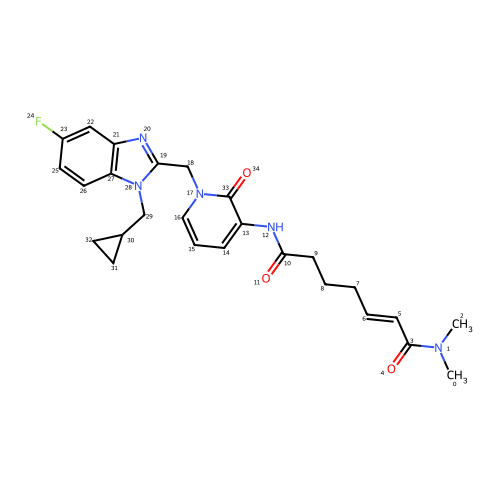 CN(C)C(=O)/C=C/CCCC(=O)Nc1cccn(Cc2nc3cc(F)ccc3n2CC2CC2)c1=O